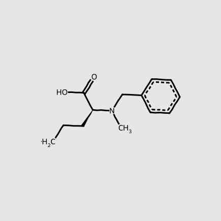 [CH2]CC[C@@H](C(=O)O)N(C)Cc1ccccc1